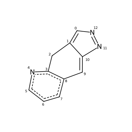 C1=C2Cc3ncccc3C=C2N=N1